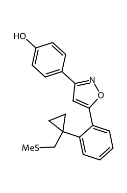 CSCC1(c2ccccc2-c2cc(-c3ccc(O)cc3)no2)CC1